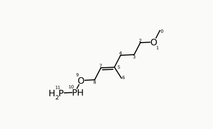 COCCC/C(C)=C/COPP